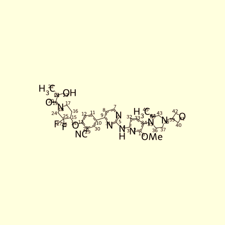 COc1nc(Nc2nccc(-c3ccc(OC4CCN(C(=O)[C@H](C)O)CC4(F)F)c(C#N)c3)n2)ccc1N1CCN(C2COC2)C[C@@H]1C